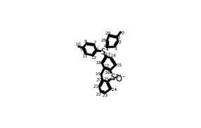 Cc1ccc([S+](c2ccc(C)cc2)c2ccc3c(c2)Cc2ccccc2[S+]3[O-])cc1